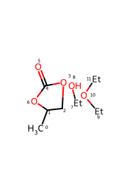 CC1COC(=O)O1.CCO.CCOCC